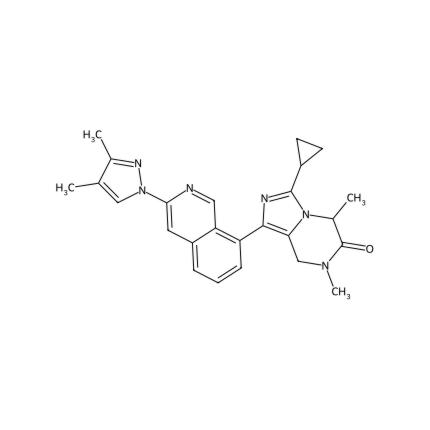 Cc1cn(-c2cc3cccc(-c4nc(C5CC5)n5c4CN(C)C(=O)C5C)c3cn2)nc1C